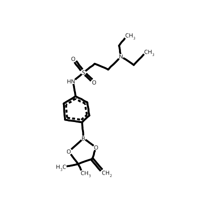 C=C1OB(c2ccc(NS(=O)(=O)CCN(CC)CC)cc2)OC1(C)C